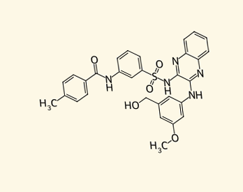 COc1cc(CO)cc(Nc2nc3ccccc3nc2NS(=O)(=O)c2cccc(NC(=O)c3ccc(C)cc3)c2)c1